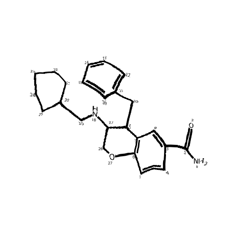 NC(=O)c1ccc2c(c1)C(Cc1ccccc1)C(NCC1CCCCC1)CO2